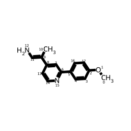 COc1ccc(-c2cc(C(C)=CN)ccn2)cc1